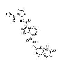 NC(=O)[C@@H]1CCCC1NC(=O)c1c[nH]c2c(C(=O)NCc3ccc4c(c3)NC(=O)CO4)ncnc12